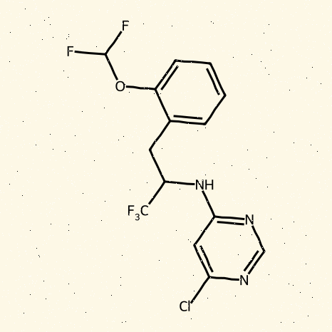 FC(F)Oc1ccccc1CC(Nc1cc(Cl)ncn1)C(F)(F)F